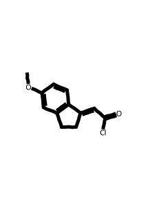 COc1ccc2c(c1)CC/C2=C\C(=O)Cl